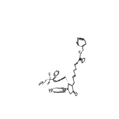 CC(C)CC(F)(F)C(=O)C=C[C@H]1[C@H](O)CC(=O)[C@@H]1CC=CCCCC(=O)OCc1ccccc1